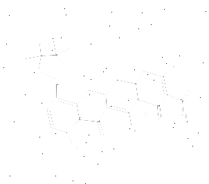 CC1(C)OB(c2ccc(O)c3c2C[C@H]2C[C@H]4CC(O)=C(C(N)=O)C(=O)[C@@]4(O)C(O)=C2C3=O)OC1(C)C